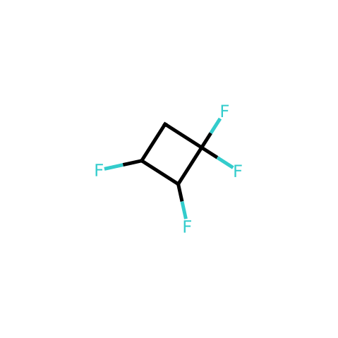 FC1CC(F)(F)C1F